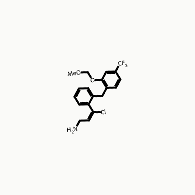 COCOc1cc(C(F)(F)F)ccc1Cc1ccccc1/C(Cl)=C\CN